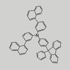 c1ccc(C2(c3ccc(N(c4cccc(-c5cccc6ccccc56)c4)c4cccc(-c5cccc6ccccc56)c4)cc3)c3ccccc3-c3ccccc32)cc1